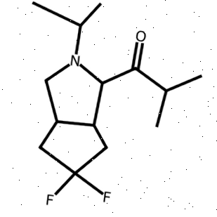 CC(C)C(=O)C1C2CC(F)(F)CC2CN1C(C)C